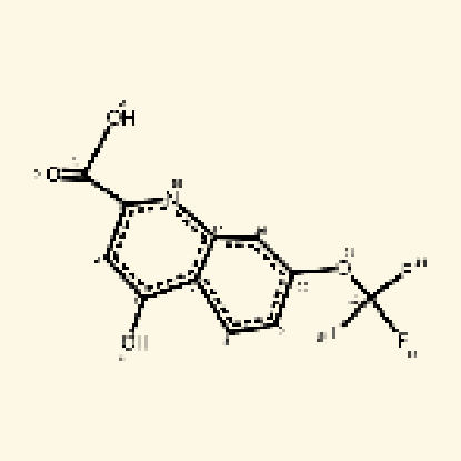 O=C(O)c1cc(O)c2ccc(OC(F)(F)F)cc2n1